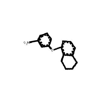 O=[N+]([O-])c1cccc(Oc2cccc3c2CCCC3)c1